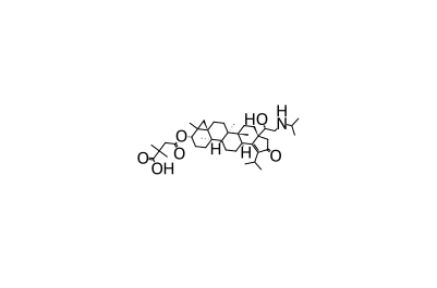 CC(C)NC[C@H](O)[C@@]12CC[C@]3(C)[C@H](CC[C@@H]4[C@@]5(C)CC[C@H](OC(=O)CC(C)(C)C(=O)O)C6(C)C[C@]65CC[C@]43C)C1=C(C(C)C)C(=O)C2